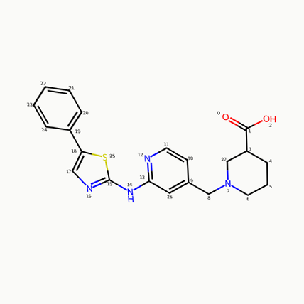 O=C(O)C1CCCN(Cc2ccnc(Nc3ncc(-c4ccccc4)s3)c2)C1